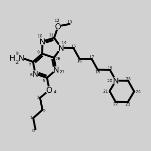 CCCCOc1nc(N)c2nc(OC)n(CCCCCN3CCCCC3)c2n1